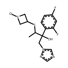 CC(SC1C[S+]([O-])C1)C(O)(Cn1cncn1)c1ccc(F)cc1F